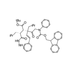 CC(C)C[C@@H](C(=O)NN)[C@H](C(=O)OC(C)(C)C)C(/C=C/c1ccccc1)(CC(C)C)C(=O)[C@H](C)N(C(=O)OCC1c2ccccc2-c2ccccc21)c1ccccc1